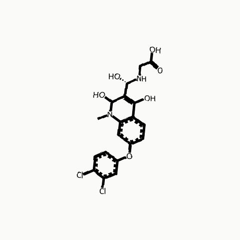 CN1c2cc(Oc3ccc(Cl)c(Cl)c3)ccc2C(O)=C([C@H](O)NCC(=O)O)C1O